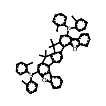 Cc1ccccc1N(c1ccccc1C)c1cc2c(c3c1oc1ccccc13)-c1ccc3c(c1C2(C)C)C(C)(C)c1cc(N(c2ccccc2C)c2ccccc2C)c2c(oc4ccccc42)c1-3